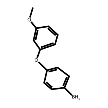 Bc1ccc(Oc2cccc(OC)c2)cc1